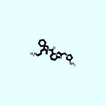 C=C/C(=C\C=C/N)C1(CNC(=O)c2cccc3nc(CN4CC[C@@H](N)C4)cn23)CCCCC1